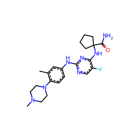 Cc1cc(Nc2ncc(F)c(NC3(C(N)=O)CCCC3)n2)ccc1N1CCN(C)CC1